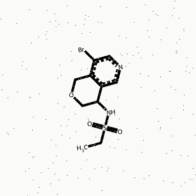 CCS(=O)(=O)NC1COCc2c(Br)cncc21